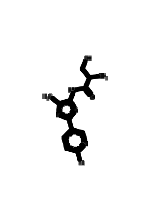 CCc1ccc(-c2nc(C)c(NC(=O)C(C)CS)s2)cn1